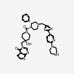 O=C([C@@H]1CCN(Cc2cnc(-c3ccc(N4CCNCC4)nc3)s2)C[C@H]1c1ccccc1)N1CCC(O)(Cn2cnc3sccc3c2=O)CC1